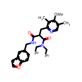 COc1c(C)cnc(CC(C(=O)NCc2ccc3occc3c2)C(=O)N(CC(C)C)CC(C)C)c1C